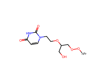 CCCOOCC(CO)OCCn1ccc(=O)[nH]c1=O